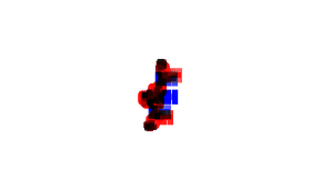 CC1=C(C(=O)OCCCNCC(O)COc2ccccc2C)C(c2cccc([N+](=O)[O-])c2)C(C(=O)OCCCNCC(O)COc2ccccc2C)=C(C)N1